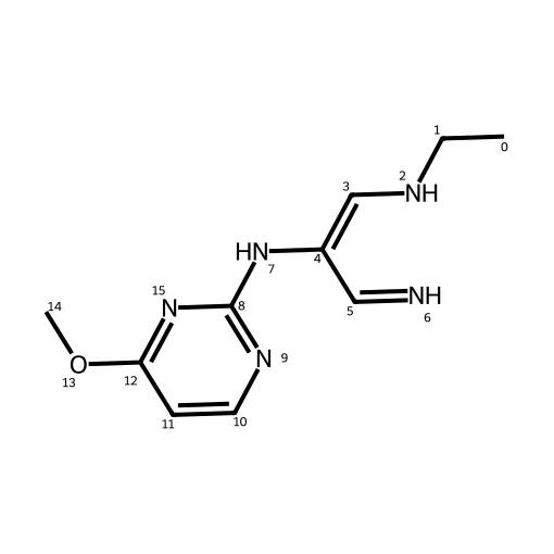 CCN/C=C(\C=N)Nc1nccc(OC)n1